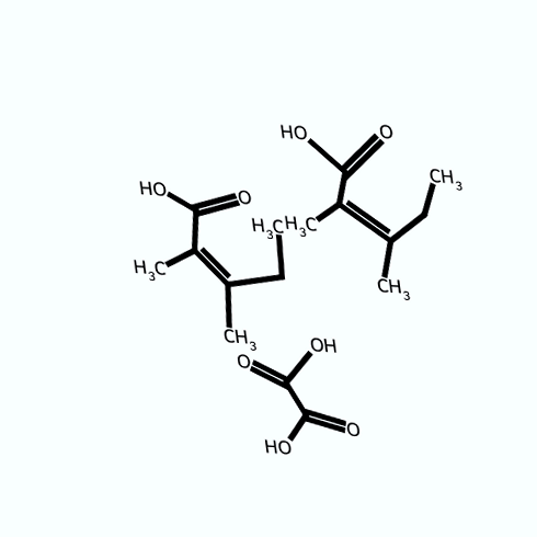 CCC(C)=C(C)C(=O)O.CCC(C)=C(C)C(=O)O.O=C(O)C(=O)O